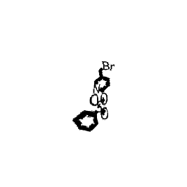 O=S(=O)(Oc1ccc(CBr)cn1)c1ccccc1